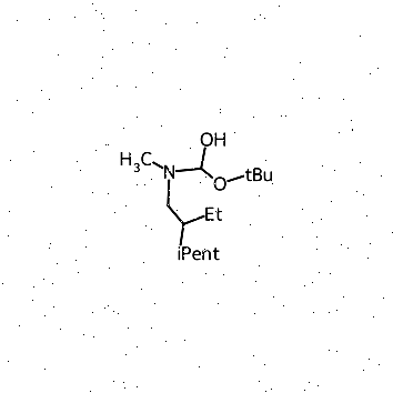 CCCC(C)C(CC)CN(C)C(O)OC(C)(C)C